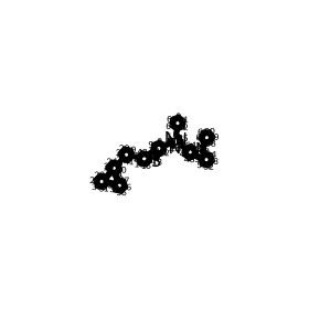 c1ccc(-c2nc(-c3ccc4c(c3)sc3ccc(-c5cccc(-c6ccc7c8ccccc8c8ccccc8c7c6)c5)cc34)nc(-c3ccc4c5ccccc5n(-c5ccccc5)c4c3)n2)cc1